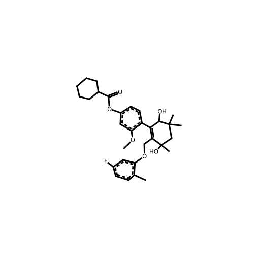 COc1cc(OC(=O)C2CCCCC2)ccc1C1=C(COc2cc(F)ccc2C)C(C)(O)CC(C)(C)C1O